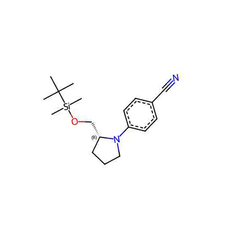 CC(C)(C)[Si](C)(C)OC[C@H]1CCCN1c1ccc(C#N)cc1